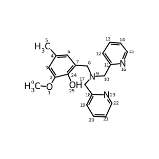 COc1cc(C)cc(CN(Cc2ccccn2)Cc2ccccn2)c1O